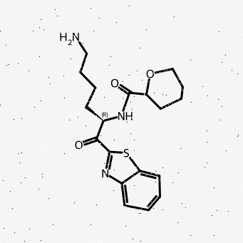 NCCCC[C@@H](NC(=O)C1CCCCO1)C(=O)c1nc2ccccc2s1